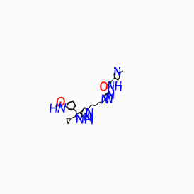 CC(=O)Nc1cccc(-c2c(C3CC3)[nH]c3nnc(CCCCn4cc(C(=O)NCc5ccc(C)nc5)nn4)cc23)c1